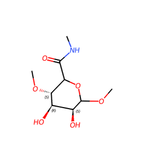 CNC(=O)C1OC(OC)[C@@H](O)[C@@H](O)[C@@H]1OC